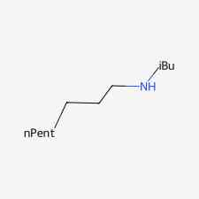 CCCCCCCCNC(C)CC